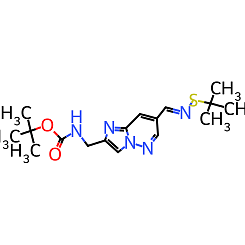 CC(C)(C)OC(=O)NCc1cn2ncc(/C=N/SC(C)(C)C)cc2n1